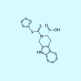 O=C(O)[C@@H]1Cc2c([nH]c3ccccc23)CN1C(=S)Sc1cccs1